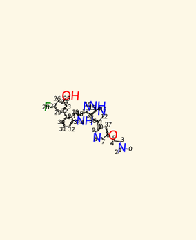 CN(C)CCOc1cncc(-c2cnc3[nH]nc(-c4cc5c(-c6cc(O)cc(F)c6)cccc5[nH]4)c3c2)c1